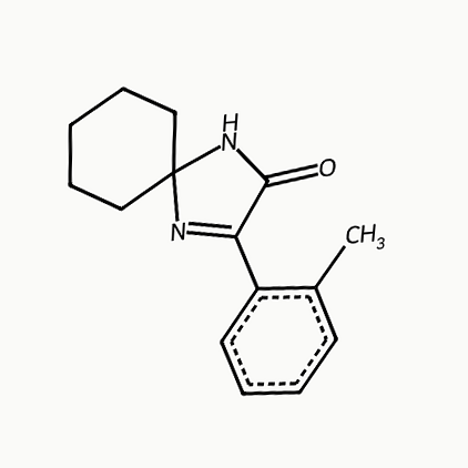 Cc1ccccc1C1=NC2(CCCCC2)NC1=O